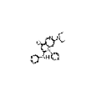 CCN(CC)c1cc2c(cn1)c(=O)cc(Nc1ccccc1)n2-c1ccccc1